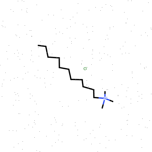 CCCCCCCCCCC[N+](C)(C)C.[Cl-]